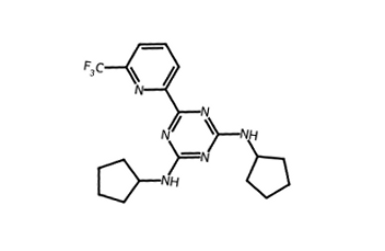 FC(F)(F)c1cccc(-c2nc(NC3CCCC3)nc(NC3CCCC3)n2)n1